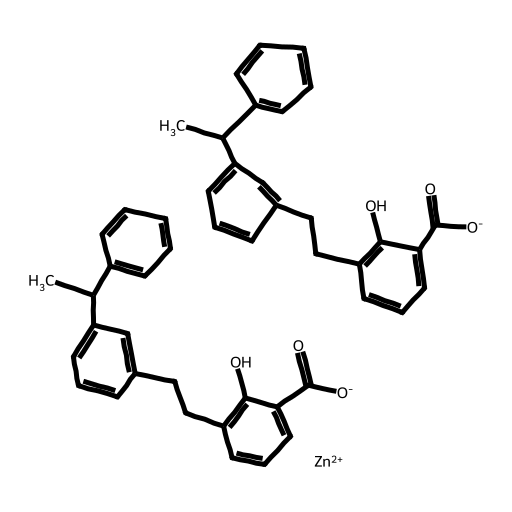 CC(c1ccccc1)c1cccc(CCc2cccc(C(=O)[O-])c2O)c1.CC(c1ccccc1)c1cccc(CCc2cccc(C(=O)[O-])c2O)c1.[Zn+2]